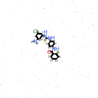 CN(C)c1cc(Cl)cc(NC(=S)Nc2ccc(NC(=O)c3ccccc3F)cc2)c1